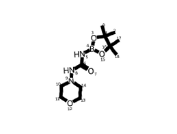 CC1(C)OB(NC(=O)NN2CCOCC2)OC1(C)C